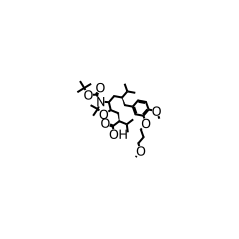 COCCCOc1cc(C[C@@H](CC2C(C[C@H](C(=O)O)C(C)C)OC(C)(C)N2C(=O)OC(C)(C)C)C(C)C)ccc1OC